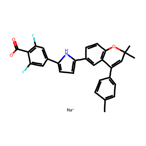 Cc1ccc(C2=CC(C)(C)Oc3ccc(-c4ccc(-c5cc(F)c(C(=O)[O-])c(F)c5)[nH]4)cc32)cc1.[Na+]